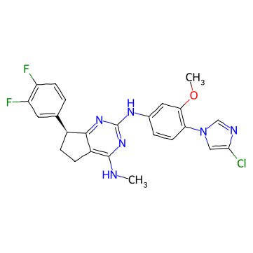 CNc1nc(Nc2ccc(-n3cnc(Cl)c3)c(OC)c2)nc2c1CC[C@H]2c1ccc(F)c(F)c1